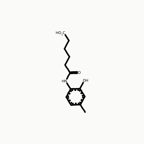 Cc1ccc(NC(=O)CCCCC(=O)O)c(O)c1